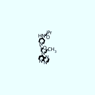 CC(C)C(=O)NC1CCN(C[C@H]2CN(c3ccnc4nccnc34)C[C@@H](C)O2)CC1